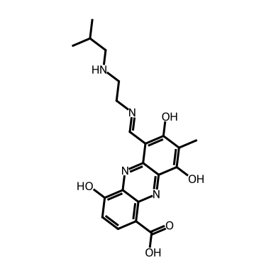 Cc1c(O)c(/C=N/CCNCC(C)C)c2nc3c(O)ccc(C(=O)O)c3nc2c1O